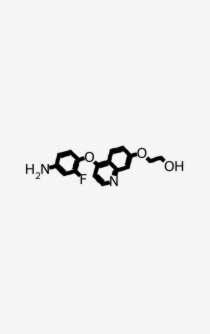 Nc1ccc(Oc2ccnc3cc(OCCO)ccc23)c(F)c1